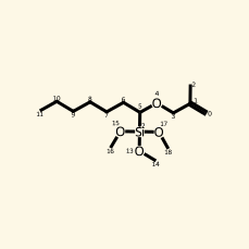 C=C(C)COC(CCCCCC)[Si](OC)(OC)OC